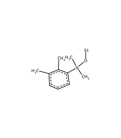 CCO[Si](C)(C)c1cccc(C)c1C